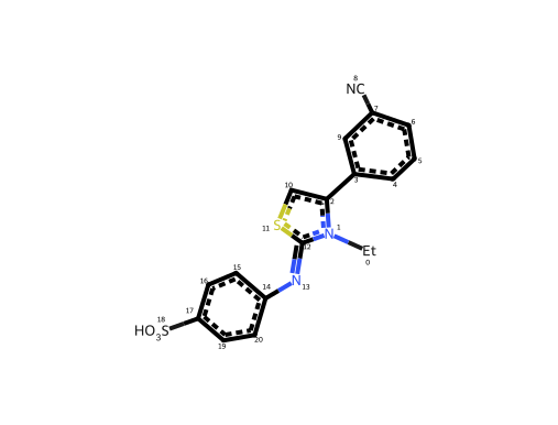 CCn1c(-c2cccc(C#N)c2)csc1=Nc1ccc(S(=O)(=O)O)cc1